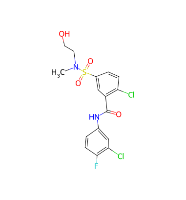 CN(CCO)S(=O)(=O)c1ccc(Cl)c(C(=O)Nc2ccc(F)c(Cl)c2)c1